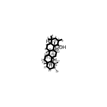 CC1CC(C)(C)[C@@H]2CC[C@]3(C)[C@H](CC[C@@H]4[C@@H]5[C@@H](C)[C@H](C)CC[C@]5(C)CC[C@]43C)[C@@]2(C)C1O